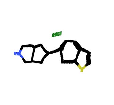 Cl.c1cc2ccc(C3CC4CNCC4C3)cc2s1